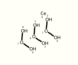 OOO.OOO.OOO.[Ce]